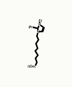 CCCCCCCCCCCCCCCCCCN1C=CN(CC)C1C(C)C